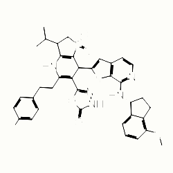 COc1cccc2c1CC[C@H]2Nc1nccc2cc(C3C(c4n[nH]c(=O)o4)=C(CCc4ccc(F)cc4)NC4=C3S(=O)(=O)CC4C(C)C)sc12